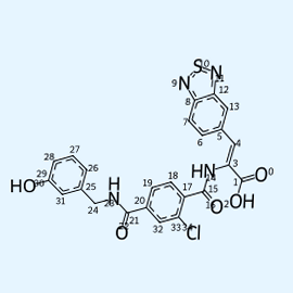 O=C(O)C(=Cc1ccc2nsnc2c1)NC(=O)c1ccc(C(=O)NCc2cccc(O)c2)cc1Cl